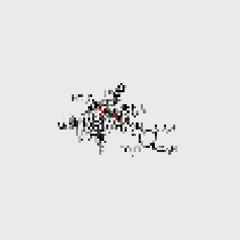 CSCC[C@H](NC(=O)[C@H](CC(C)C)NC(=O)[C@H](Cc1c[nH]cn1)NC(=O)CNC(=O)[C@@H](NC(=O)[C@H](C)NC(=O)[C@H](Cc1c[nH]c2ccccc12)NC(=O)[C@H](CCC(N)=O)NC(=O)CCC(=O)N(CCNC(=O)CN1CCN(CC(=O)O)CCN(CC(=O)O)CCN(CC(=O)O)CC1)CCNC(=O)CN1CCN(CC(=O)O)CCN(CC(=O)O)CCN(CC(=O)O)CC1)C(C)C)C(N)=O